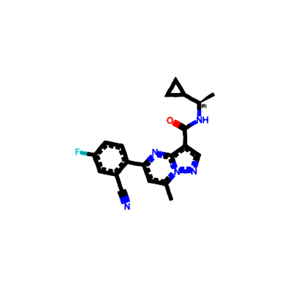 Cc1cc(-c2ccc(F)cc2C#N)nc2c(C(=O)N[C@H](C)C3CC3)cnn12